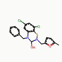 Cc1ccc(CN2Sc3c(Cl)cc(Cl)cc3N(Cc3ccccc3)C2O)o1